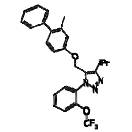 Cc1cc(OCc2c(C(C)C)nnn2-c2ccccc2OC(F)(F)F)ccc1-c1ccccc1